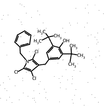 CC(C)(C)c1cc(Cc2c(Cl)c(Cl)n(Cc3ccccc3)c2Cl)cc(C(C)(C)C)c1O